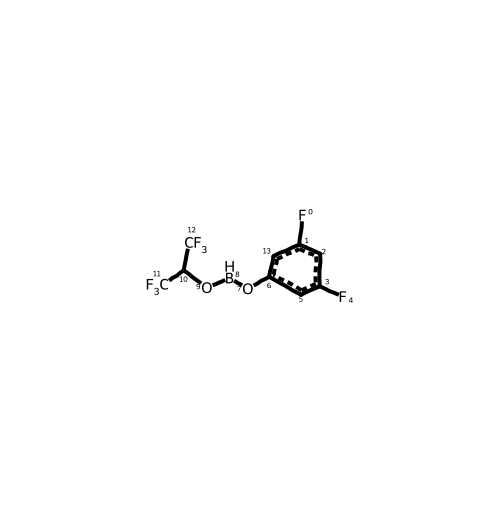 Fc1cc(F)cc(OBOC(C(F)(F)F)C(F)(F)F)c1